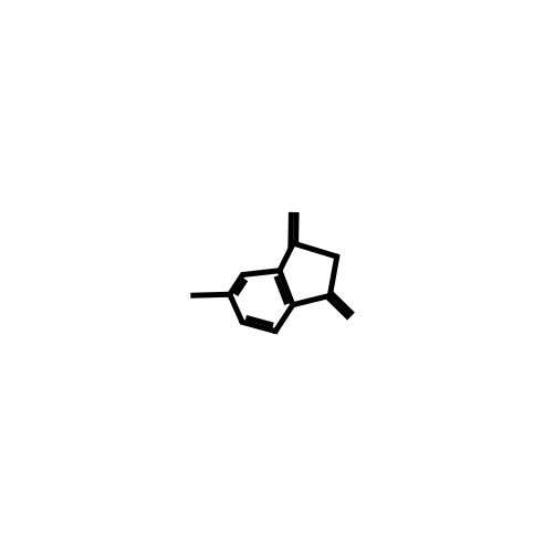 C=C1CC(=C)c2cc(C)ccc21